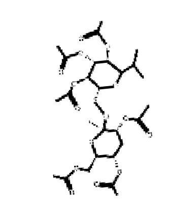 CC(=O)OC[C@H]1O[C@@](C)(OC[C@H]2OC(C(C)C)[C@H](OC(C)=O)[C@@H](OC(C)=O)[C@@H]2OC(C)=O)[C@H](OC(C)=O)C[C@@H]1OC(C)=O